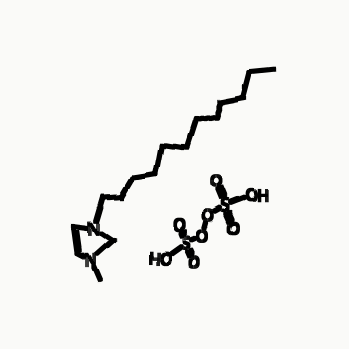 CCCCCCCCCCCCN1C=CN(C)C1.O=S(=O)(O)OOS(=O)(=O)O